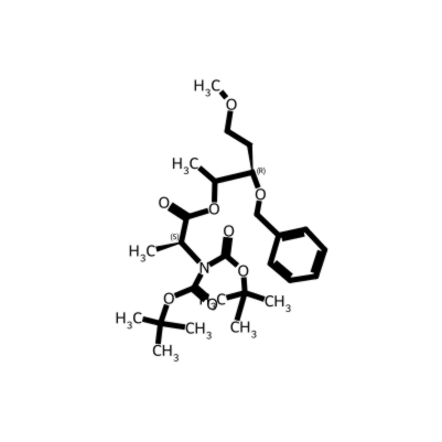 COCC[C@@H](OCc1ccccc1)C(C)OC(=O)[C@H](C)N(C(=O)OC(C)(C)C)C(=O)OC(C)(C)C